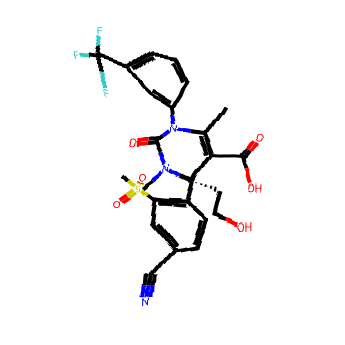 CC1=C(C(=O)O)[C@@](CCO)(c2ccc(C#N)cc2S(C)(=O)=O)N(C)C(=O)N1c1cccc(C(F)(F)F)c1